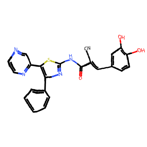 N#C/C(=C\c1ccc(O)c(O)c1)C(=O)Nc1nc(-c2ccccc2)c(-c2cnccn2)s1